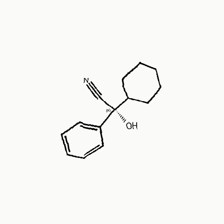 N#C[C@](O)(c1ccccc1)C1CCCCC1